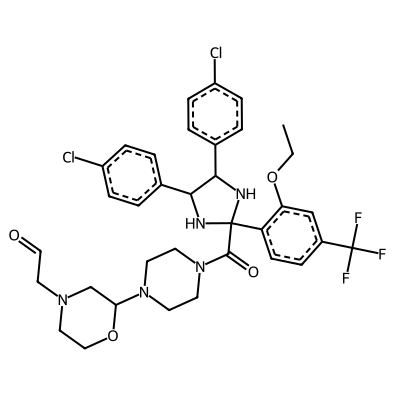 CCOc1cc(C(F)(F)F)ccc1C1(C(=O)N2CCN(C3CN(CC=O)CCO3)CC2)NC(c2ccc(Cl)cc2)C(c2ccc(Cl)cc2)N1